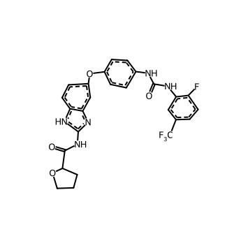 O=C(Nc1ccc(Oc2ccc3[nH]c(NC(=O)C4CCCO4)nc3c2)cc1)Nc1cc(C(F)(F)F)ccc1F